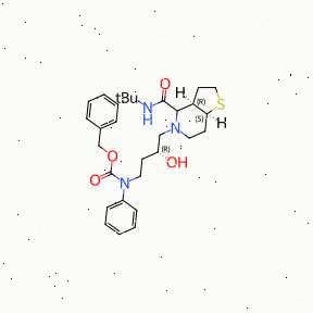 CC(C)(C)NC(=O)C1[C@H]2CCS[C@H]2CCN1C[C@H](O)CCN(C(=O)OCc1ccccc1)c1ccccc1